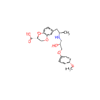 COc1ccc(OC[C@@H](O)CN[C@H](C)Cc2ccc3c(c2)OC[C@H](C(=O)O)O3)cc1